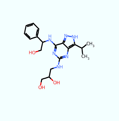 CC(C)c1[nH]nc2c(NC(CO)c3ccccc3)nc(NCC(O)CO)nc12